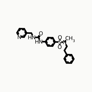 CN(CCc1ccccc1)S(=O)(=O)c1ccc(NC(=O)NCc2cccnc2)cc1